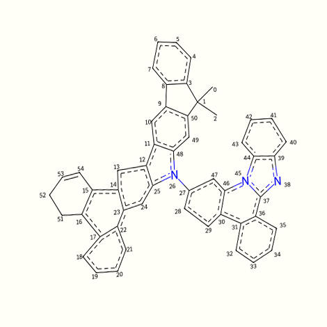 CC1(C)c2ccccc2-c2cc3c4cc5c6c(c7ccccc7c5cc4n(-c4ccc5c7ccccc7c7nc8ccccc8n7c5c4)c3cc21)CCC=C6